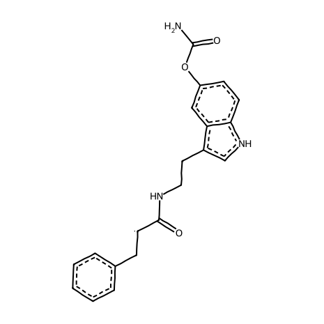 NC(=O)Oc1ccc2[nH]cc(CCNC(=O)[CH]Cc3ccccc3)c2c1